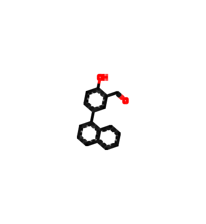 O=Cc1cc(-c2cccc3ccccc23)ccc1O